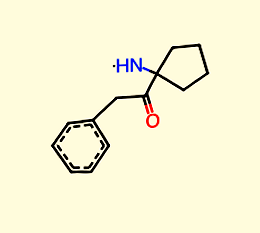 [NH]C1(C(=O)Cc2ccccc2)CCCC1